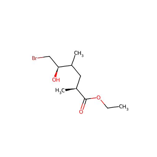 CCOC(=O)[C@@H](C)CC(C)[C@@H](O)CBr